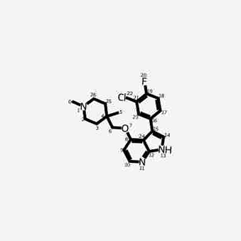 CN1CCC(C)(COc2ccnc3[nH]cc(-c4ccc(F)c(Cl)c4)c23)CC1